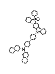 O=P1(c2ccccc2)c2ccccc2-c2cc3c(cc21)c1ccccc1n3-c1ccc(-c2ccc(N(c3ccc4ccccc4c3)c3ccc4ccccc4c3)cc2)cc1